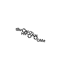 COc1ccc(N2CCOc3c(-c4nc5ccc(C(C)(C)C)cc5[nH]4)cccc32)nc1